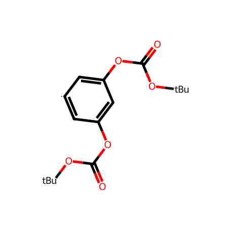 CC(C)(C)OC(=O)Oc1c[c]cc(OC(=O)OC(C)(C)C)c1